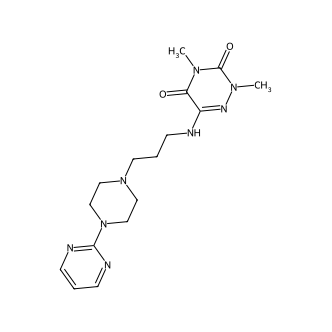 Cn1nc(NCCCN2CCN(c3ncccn3)CC2)c(=O)n(C)c1=O